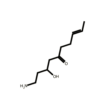 CC=CCCC(=O)CC(O)CCN